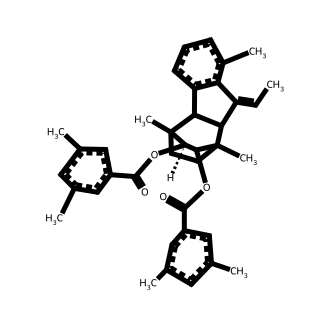 C/C=C1\c2c(C)cccc2C2C1C1(C)CCC2(C)[C@H](OC(=O)c2cc(C)cc(C)c2)C1OC(=O)c1cc(C)cc(C)c1